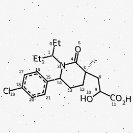 CCC(CC)N1C(=O)[C@@](C)(CC(O)C(=O)O)CCC1c1ccc(Cl)cc1